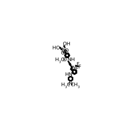 COc1cc(S(=O)(=O)N(CCO)CCO)ccc1NCC#Cc1cc2c(NC3CCC(N(C)C)CC3)cccc2n1CC(F)(F)F